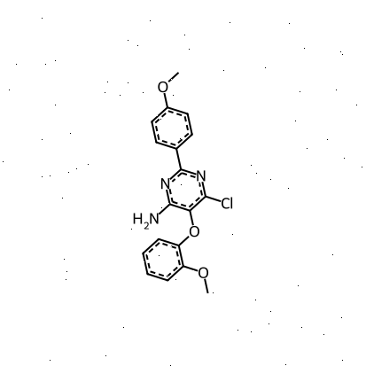 COc1ccc(-c2nc(N)c(Oc3ccccc3OC)c(Cl)n2)cc1